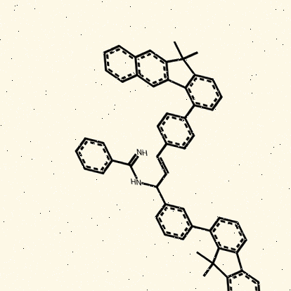 CC1(C)c2cc3ccccc3cc2-c2c(-c3ccc(/C=C/C(NC(=N)c4ccccc4)c4cccc(-c5cccc6c5C(C)(C)c5ccccc5-6)c4)cc3)cccc21